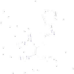 NN/C(Sc1nc2ccccc2s1)=C(\N)C(=O)O